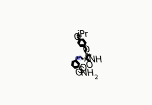 CC(C)Oc1ccc(OC[C@H]2CNC(=O)[C@@H]2C/C=C\c2cccc(S(N)(=O)=O)c2)cc1